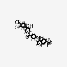 O=C(c1ccc(Nc2ccnc3cc(C(F)(F)F)ccc23)cc1)N1CCC(O)(c2ccc(Cl)c(Cl)c2)CC1